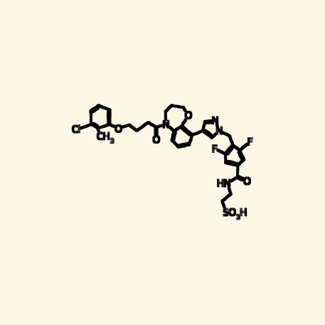 Cc1c(Cl)cccc1OCCCC(=O)N1CCCOc2c(-c3cnn(Cc4c(F)cc(C(=O)NCCS(=O)(=O)O)cc4F)c3)cccc21